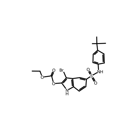 CCOC(=O)Oc1[nH]c2ccc(S(=O)(=O)Nc3ccc(C(C)(C)C)cc3)cc2c1Br